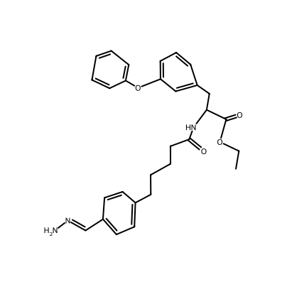 CCOC(=O)C(Cc1cccc(Oc2ccccc2)c1)NC(=O)CCCCc1ccc(C=NN)cc1